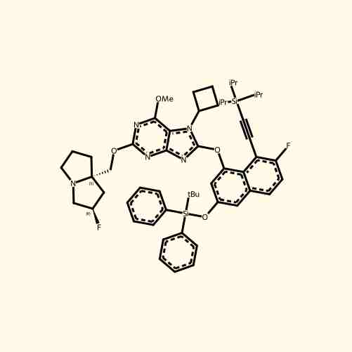 COc1nc(OC[C@@]23CCCN2C[C@H](F)C3)nc2nc(Oc3cc(O[Si](c4ccccc4)(c4ccccc4)C(C)(C)C)cc4ccc(F)c(C#C[Si](C(C)C)(C(C)C)C(C)C)c34)n(C3CCC3)c12